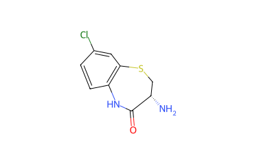 N[C@H]1CSc2cc(Cl)ccc2NC1=O